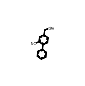 CC(C)(C)Cc1ccc(-c2ccccc2)c(C#N)c1